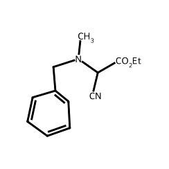 CCOC(=O)C(C#N)N(C)Cc1ccccc1